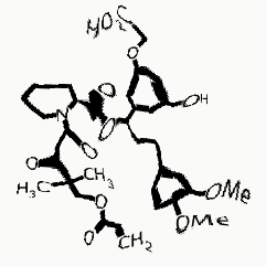 C=CC(=O)OCC(C)(C)C(=O)C(=O)N1CCCC[C@H]1C(=O)O[C@H](CCc1ccc(OC)c(OC)c1)c1cc(O)cc(OCC(=O)O)c1